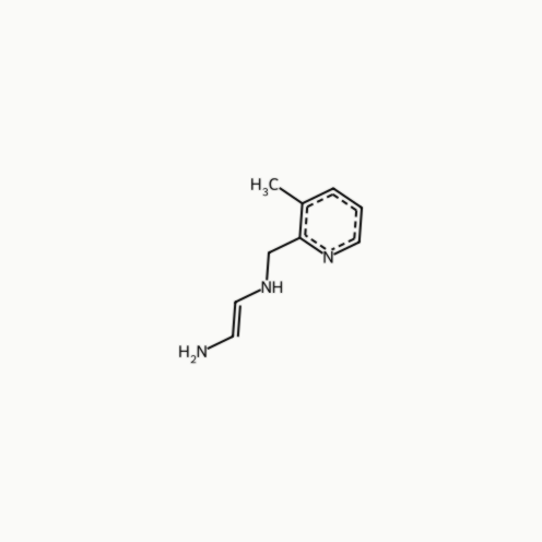 Cc1cccnc1CNC=CN